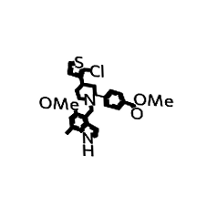 COC(=O)c1ccc([C@@H]2CC(c3ccsc3Cl)CCN2Cc2c(OC)cc(C)c3[nH]ccc23)cc1